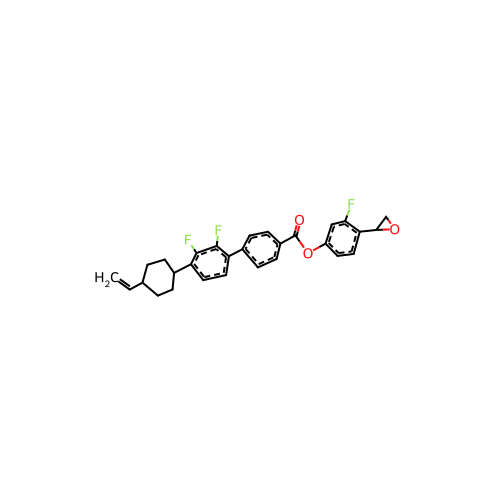 C=CC1CCC(c2ccc(-c3ccc(C(=O)Oc4ccc(C5CO5)c(F)c4)cc3)c(F)c2F)CC1